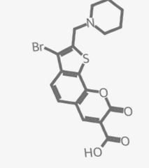 O=C(O)c1cc2ccc3c(Br)c(CN4CCCCC4)sc3c2oc1=O